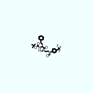 CN(CCN(C=O)c1ccc(C(F)(F)F)cc1)C(=O)[C@H](CCc1ccccc1)NC(=O)OC(C)(C)C